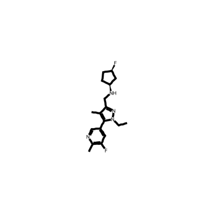 CCn1nc(CN[C@H]2CC[C@@H](F)C2)c(C)c1-c1cnc(C)c(F)c1